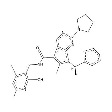 Cc1cc(C)c(CNC(=O)c2c(C)n([C@H](C)c3ccccc3)c3nc(N4CCCC4)ncc23)c(O)n1